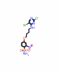 NS(=O)(=O)c1ccc(OCCCCNc2nc(Cl)ncc2Br)cc1[N+](=O)[O-]